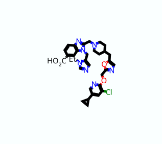 CCn1cncc1Cn1c(CN2CCC(Cc3cnc(COc4ncc(C5CC5)cc4Cl)o3)CC2)nc2ccc(C(=O)O)cc21